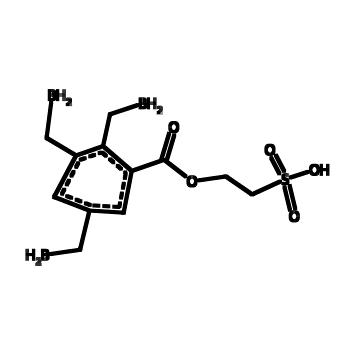 BCc1cc(CB)c(CB)c(C(=O)OCCS(=O)(=O)O)c1